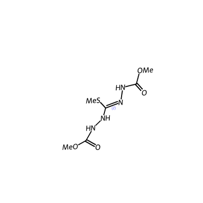 COC(=O)N/N=C(/NNC(=O)OC)SC